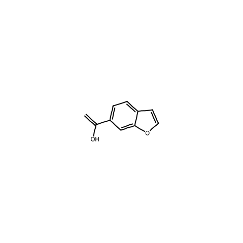 C=C(O)c1ccc2ccoc2c1